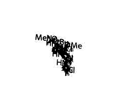 CN[C@@H](C)C(=O)N[C@H](C(=O)N1CCC[C@H]1C(=O)Nc1cc2c(Nc3ccc(F)c(Cl)c3)ncnc2cc1OCCOC)C(C)(C)C.Cl